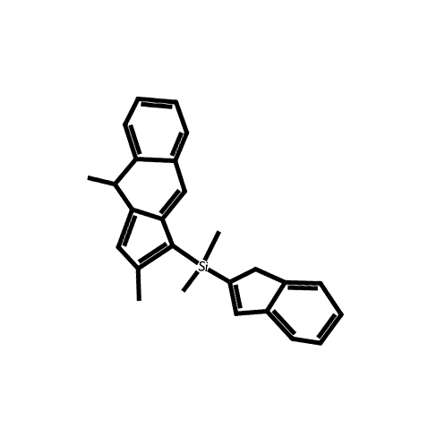 CC1=C([Si](C)(C)C2=Cc3ccccc3C2)C2=Cc3ccccc3C(C)C2=C1